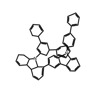 C1=CCC(C2=CC(c3ccccc3)CC(N3C4CCC=CC4C4C=CC=C(c5ccc6c(c5)c5ccccc5n6-c5ccc(-c6ccccc6)cc5)C43)=C2)C=C1